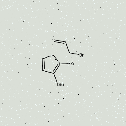 C=CCBr.CC(C)(C)C1=[C]([Zr])CC=C1